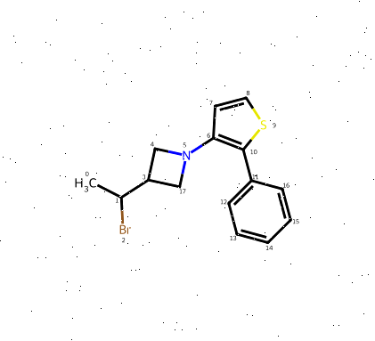 CC(Br)C1CN(c2ccsc2-c2ccccc2)C1